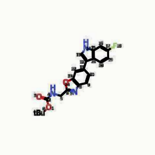 CC(C)(C)OC(=O)NCc1nc2ccc(-c3c[nH]c4cc(F)ccc34)cc2o1